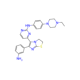 CCN1CCN(c2ccc(Nc3nccc(-c4c(-c5cccc(N)c5)nc5n4CCS5)n3)cc2)CC1